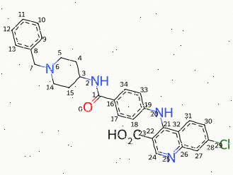 O=C(NC1CCN(Cc2ccccc2)CC1)c1ccc(Nc2c(C(=O)O)cnc3cc(Cl)ccc23)cc1